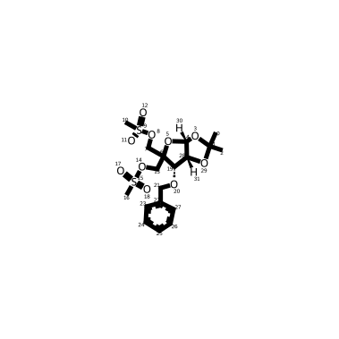 CC1(C)O[C@H]2OC(COS(C)(=O)=O)(COS(C)(=O)=O)[C@@H](OCc3ccccc3)[C@H]2O1